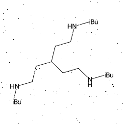 CCC(C)NCCC(CCNC(C)CC)CCNC(C)CC